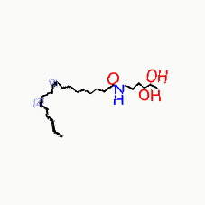 CCCCC/C=C\C/C=C\CCCCCCCC(=O)NCCCC(O)C(C)O